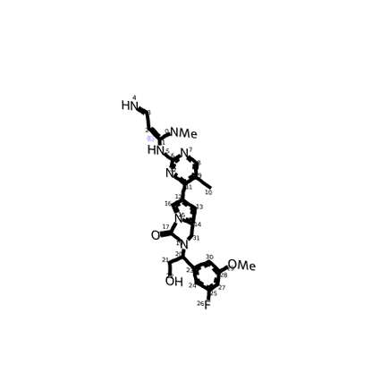 CN/C(=C\C=N)Nc1ncc(C)c(-c2cc3n(c2)C(=O)N(C(CO)c2cc(F)cc(OC)c2)C3)n1